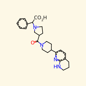 O=C(O)C(c1ccccc1)N1CCC(C(=O)N2CCC(c3ccc4c(n3)NCCC4)CC2)C1